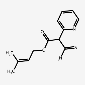 CC(C)=CCOC(=O)C(C(N)=S)c1ccccn1